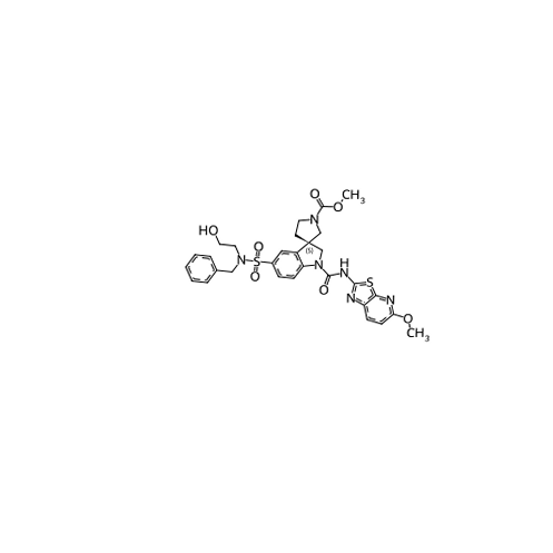 COC(=O)N1CC[C@@]2(C1)CN(C(=O)Nc1nc3ccc(OC)nc3s1)c1ccc(S(=O)(=O)N(CCO)Cc3ccccc3)cc12